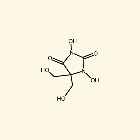 O=C1N(O)C(=O)C(CO)(CO)N1O